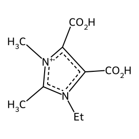 CCn1c(C(=O)O)c(C(=O)O)[n+](C)c1C